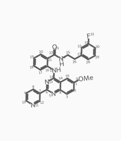 COc1ccc2nc(-c3cccnc3)nc(Nc3ccccc3C(=O)NCCc3cccc(F)c3)c2c1